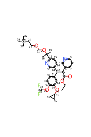 CCOC(=O)C(c1cccnc1)C(c1ccc(C(C)(C)OCOCC[Si](C)(C)C)nc1)c1ccc(OC(F)F)c(OC2CC2)c1